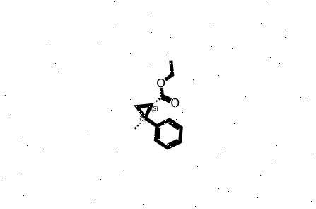 CCOC(=O)[C@H]1C[C@]1(C)c1ccccc1